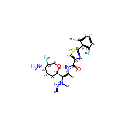 C=NN(C)/C(=C(\C)NC(=O)c1csc(-c2c(F)cccc2F)n1)[C@H]1CC[C@H](N)[C@@H](F)CO1